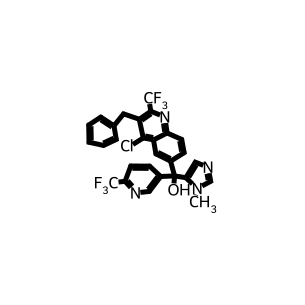 Cn1cncc1C(O)(c1ccc(C(F)(F)F)nc1)c1ccc2nc(C(F)(F)F)c(Cc3ccccc3)c(Cl)c2c1